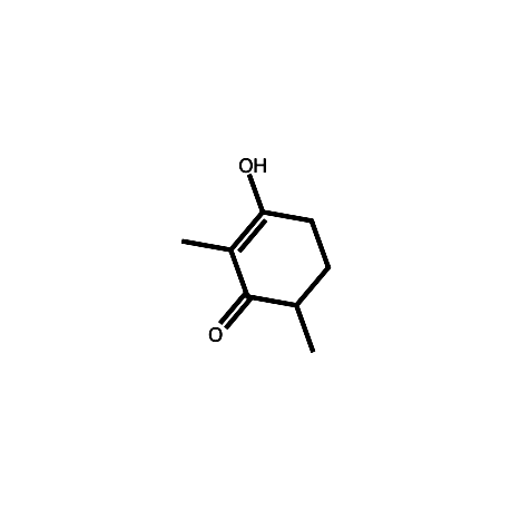 CC1=C(O)CCC(C)C1=O